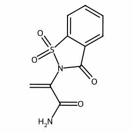 C=C(C(N)=O)N1C(=O)c2ccccc2S1(=O)=O